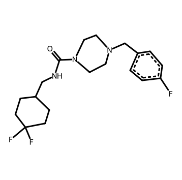 O=C(NCC1CCC(F)(F)CC1)N1CCN(Cc2ccc(F)cc2)CC1